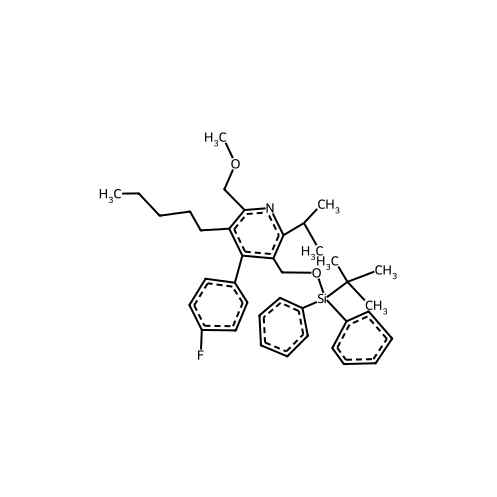 CCCCCc1c(COC)nc(C(C)C)c(CO[Si](c2ccccc2)(c2ccccc2)C(C)(C)C)c1-c1ccc(F)cc1